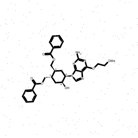 COCCOc1nc(N)nc2c1ncn2[C@@H]1C[C@H](COC(=O)c2ccccc2)[C@@H](COC(=O)c2ccccc2)C[C@@H]1O